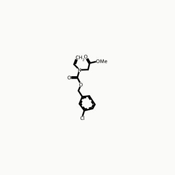 C=CN(CC(=O)OC)C(=O)OCc1cccc(Cl)c1